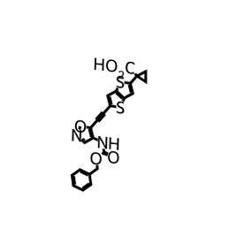 O=C(Nc1cnoc1C#Cc1cc2sc(C3(C(=O)O)CC3)cc2s1)OCc1ccccc1